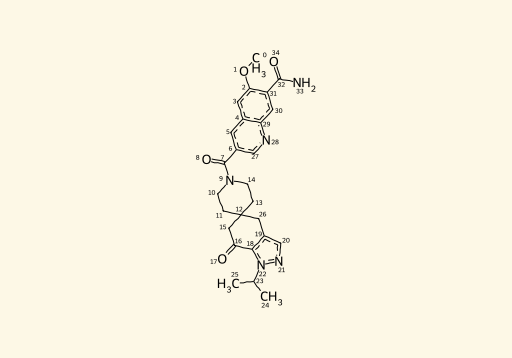 COc1cc2cc(C(=O)N3CCC4(CC3)CC(=O)c3c(cnn3C(C)C)C4)cnc2cc1C(N)=O